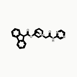 O=C(C[N+]12CCC(CC1)C(OC(=O)C1c3ccccc3-c3ccccc31)C2)Nc1cnccn1